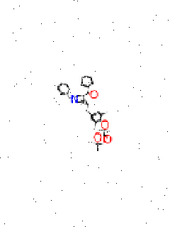 Cc1cc(CC[C@H]2CN(Cc3ccccc3)CC2C(=O)c2ccccc2)cc(C)c1OC(C)(C)C(=O)OC(C)(C)C